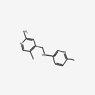 Cc1ccc(NCc2cc(N)ncc2C)cn1